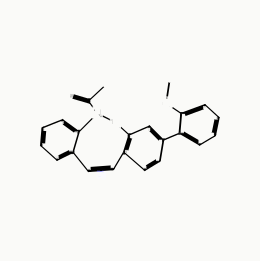 COc1ccccc1-c1ccc2c(c1)CN(C(C)=O)c1ccccc1/C=C\2